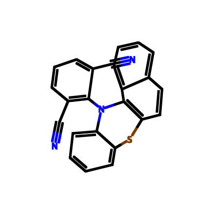 N#Cc1cccc(C#N)c1N1c2ccccc2Sc2ccc3ccccc3c21